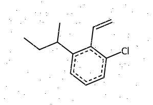 C=Cc1c(Cl)cccc1C(C)CC